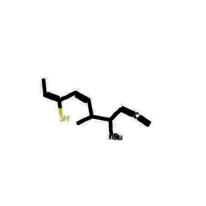 C=C=CC(CCCC)C(C)/C=C\C(S)=C/C